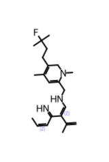 C=C(C)/C(=C/NCC1=CC(C)=C(CCC(C)(C)F)CN1C)C(=N)/C=C\C